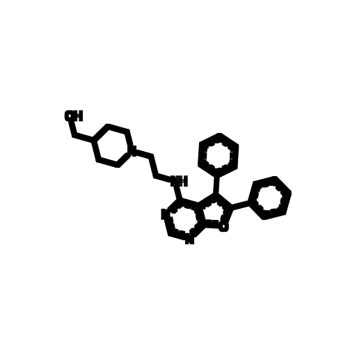 OCC1CCN(CCNc2ncnc3oc(-c4ccccc4)c(-c4ccccc4)c23)CC1